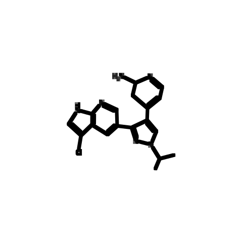 CC(C)n1cc(C2=CC=NC(N)C2)c(-c2cnc3[nH]cc(Cl)c3c2)n1